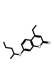 CCCC(C)Oc1ccc2c(CC)cc(=O)oc2c1